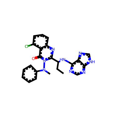 CCC(Nc1ncnc2[nH]cnc12)c1nc2cccc(Cl)c2c(=O)n1N(C)c1ccccc1